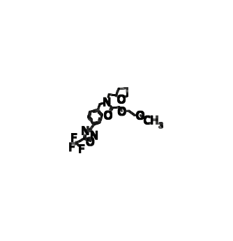 COCCOCC(=O)N(Cc1ccc(-c2noc(C(F)(F)F)n2)cc1)CC1CCCO1